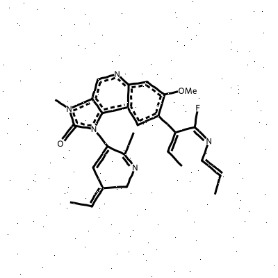 C\C=C(/C(F)=N\C=C\C)c1cc2c(cc1OC)ncc1c2n(C2=C/C(=C\C)CN=C2C)c(=O)n1C